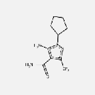 NC(=O)c1c(C(F)(F)F)nn(C2CCCC2)c1N